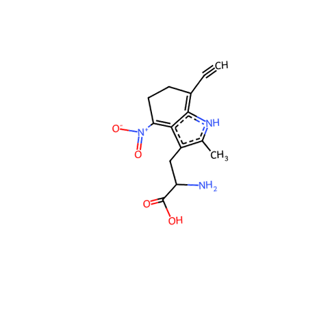 C#CC1=c2[nH]c(C)c(CC(N)C(=O)O)c2=C([N+](=O)[O-])CC1